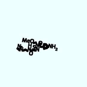 COCCN(C(=O)Cc1ccc(N)cc1)c1ncc(C(=O)NCCCn2ccnc2)s1